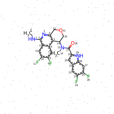 CNc1nc2c(c3cc(F)c(F)cc13)C(N(C)C(=O)c1cc3cc(F)c(F)cc3[nH]1)COC2